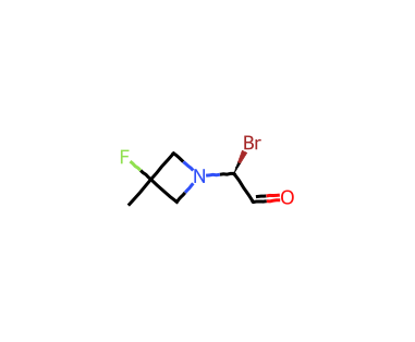 CC1(F)CN([C@@H](Br)C=O)C1